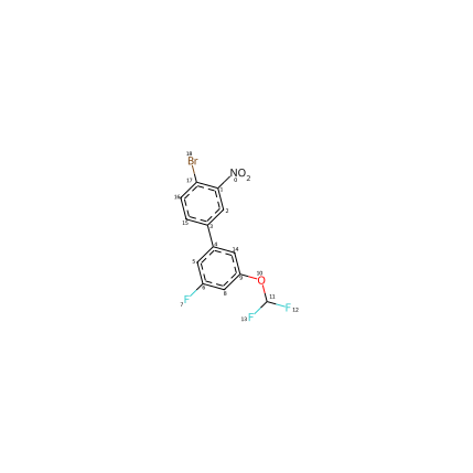 O=[N+]([O-])c1cc(-c2cc(F)cc(OC(F)F)c2)ccc1Br